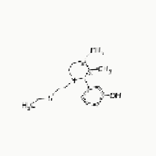 CCSCCN1CC[C@H](C)[C@@H](C)C1c1cccc(O)c1